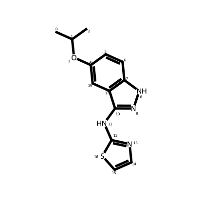 CC(C)Oc1ccc2[nH]nc(Nc3nccs3)c2c1